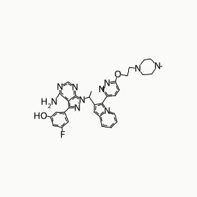 CC(c1cc2ccccn2c1-c1ccc(OCCN2CCN(C)CC2)nn1)n1nc(-c2cc(O)cc(F)c2)c2c(N)ncnc21